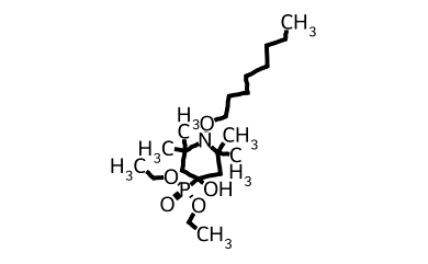 CCCCCCCCON1C(C)(C)CC(O)(P(=O)(OCC)OCC)CC1(C)C